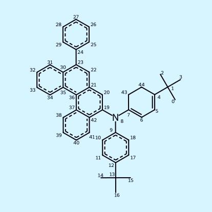 CC(C)(C)C1=CC=C(N(c2ccc(C(C)(C)C)cc2)c2cc3cc(-c4ccccc4)c4ccccc4c3c3ccccc23)CC1